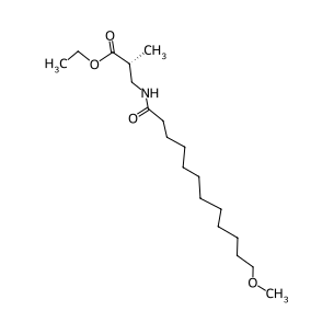 CCOC(=O)[C@H](C)CNC(=O)CCCCCCCCCCCOC